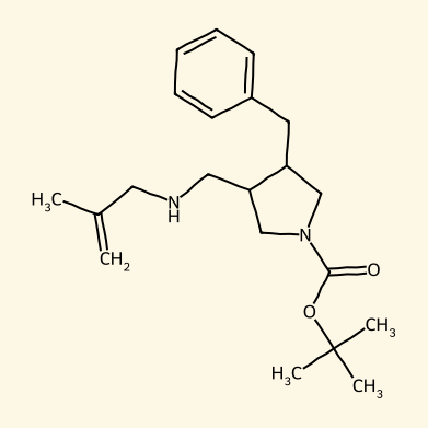 C=C(C)CNCC1CN(C(=O)OC(C)(C)C)CC1Cc1ccccc1